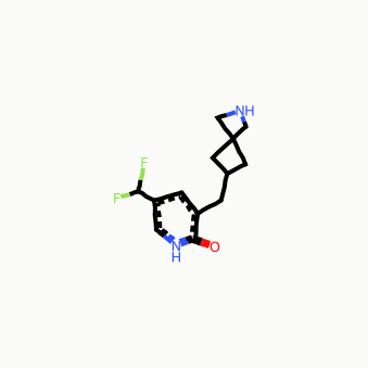 O=c1[nH]cc(C(F)F)cc1CC1CC2(CNC2)C1